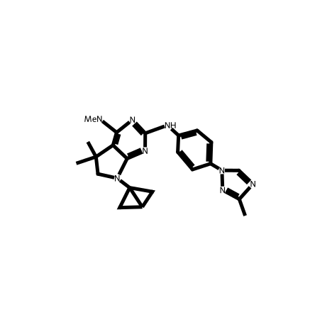 CNc1nc(Nc2ccc(-n3cnc(C)n3)cc2)nc2c1C(C)(C)CN2C12CC1C2